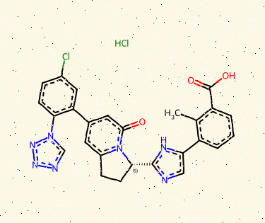 Cc1c(C(=O)O)cccc1-c1cnc([C@@H]2CCc3cc(-c4cc(Cl)ccc4-n4cnnn4)cc(=O)n32)[nH]1.Cl